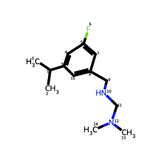 CC(C)c1cc(F)cc(CNCN(C)C)c1